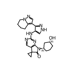 O=C1N([C@@H]2CCC[C@@H](O)C2)c2nc(Nc3c[nH]nc3-c3cnn4c3CCCC4)ncc2C12CC2